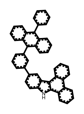 c1ccc(-c2c3ccccc3c(-c3cccc(-c4ccc5[nH]c6c7ccccc7c7ccccc7c6c5c4)c3)c3ccccc23)cc1